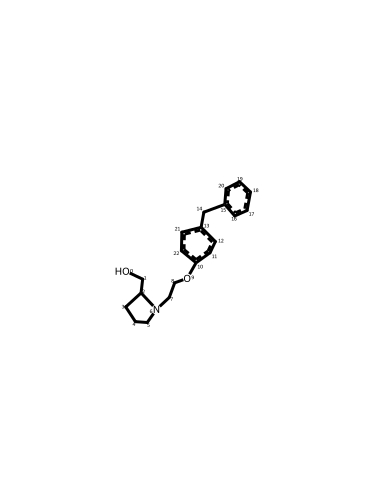 OCC1CCCN1CCOc1ccc(Cc2ccccc2)cc1